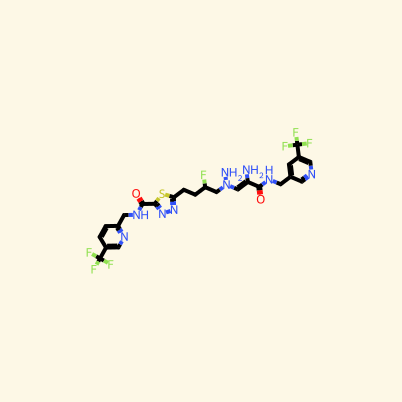 N/C(=C\N(N)CC(F)CCc1nnc(C(=O)NCc2ccc(C(F)(F)F)cn2)s1)C(=O)NCc1cncc(C(F)(F)F)c1